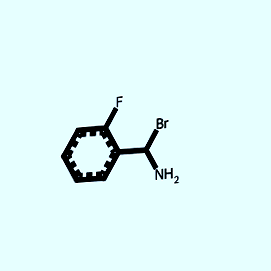 NC(Br)c1ccccc1F